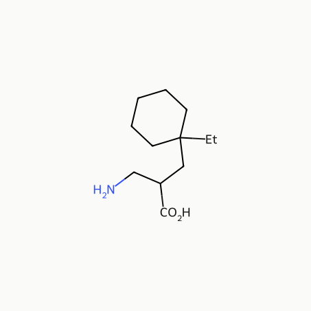 CCC1(CC(CN)C(=O)O)CCCCC1